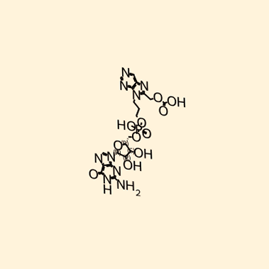 Nc1nc2c(ncn2[C@@H]2O[C@H](COP(=O)(O)OCCCn3c(COC(=O)O)nc4cncnc43)[C@@H](O)[C@H]2O)c(=O)[nH]1